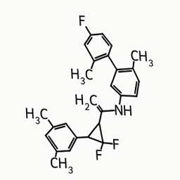 C=C(Nc1ccc(C)c(-c2ccc(F)cc2C)c1)C1C(c2cc(C)cc(C)c2)C1(F)F